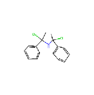 CC(Cl)(NC(C)(Cl)c1ccccc1)c1ccccc1